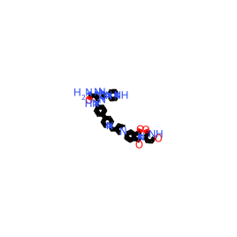 NC(=O)c1nnc(N2CCNCC2)nc1Nc1ccc(C2CCN(CC3CCN(c4ccc5c(c4)C(=O)N(C4CCC(=O)NC4=O)C5=O)C3)CC2)cc1